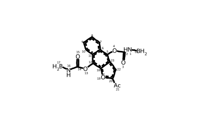 BNC(=O)Oc1c2ccccc2c(OC(=O)NB)c2oc(C(C)=O)cc12